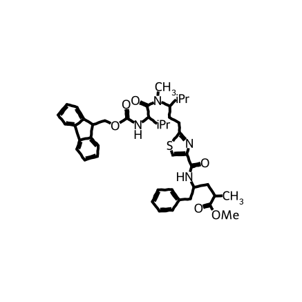 COC(=O)C(C)CC(Cc1ccccc1)NC(=O)c1csc(CCC(C(C)C)N(C)C(=O)C(NC(=O)OCC2c3ccccc3-c3ccccc32)C(C)C)n1